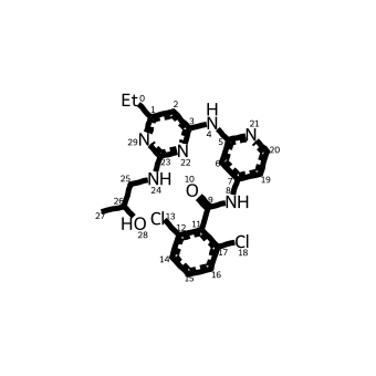 CCc1cc(Nc2cc(NC(=O)c3c(Cl)cccc3Cl)ccn2)nc(NCC(C)O)n1